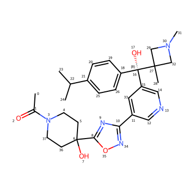 CC(=O)N1CCC(O)(c2nc(-c3cncc([C@@](O)(c4ccc(C(C)C)cc4)C4(C)CN(C)C4)c3)no2)CC1